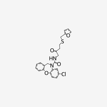 O=C(CCSCc1ccco1)CNC(=O)N1Cc2ccccc2Oc2ccc(Cl)cc21